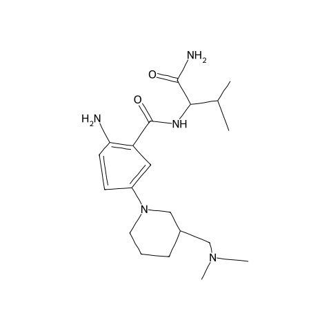 CC(C)C(NC(=O)c1cc(N2CCCC(CN(C)C)C2)ccc1N)C(N)=O